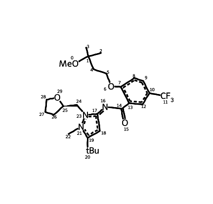 COC(C)(C)CCOc1ccc(C(F)(F)F)cc1C(=O)/N=c1\cc(C(C)(C)C)n(C)n1C[C@H]1CCCO1